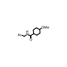 COC1CCC(C(=O)NCC(C)=O)CC1